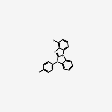 Cc1ccc(-n2c3ccccc3n3c4cccc(I)c4nc23)cc1